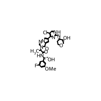 COc1cc(F)cc([C@@H](CO)NC(=O)C(C)n2cnn3cc(-c4nc(N[C@@H]5CCOC[C@@H]5O)ncc4Cl)cc3c2=O)c1